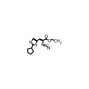 CCOC(=O)C(=Cc1cnc(C2CCCC2)s1)N=[N+]=[N-]